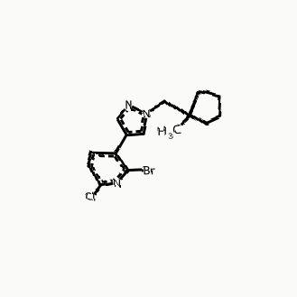 CC1(Cn2cc(-c3ccc(Cl)nc3Br)cn2)CCCC1